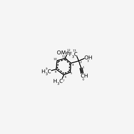 C#CC(O)(c1cc(C)c(C)cc1OC)C(F)(F)F